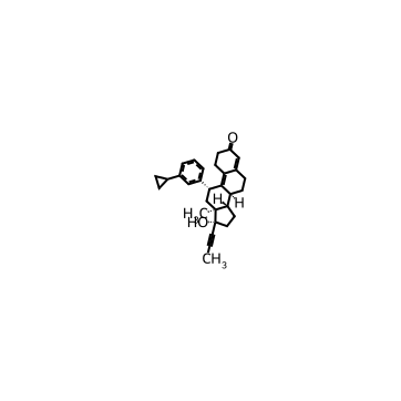 CC#C[C@]1(O)CC[C@H]2[C@@H]3CCC4=CC(=O)CCC4=C3[C@@H](c3cccc(C4CC4)c3)C[C@@]21C